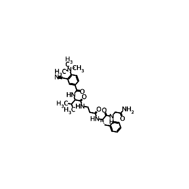 CC(C)C(NC(=O)c1ccc([N+](C)(C)C)c(C#N)c1)C(=O)NCCC(=O)N[C@@H](Cc1ccccc1)C(=O)NCC(N)=O